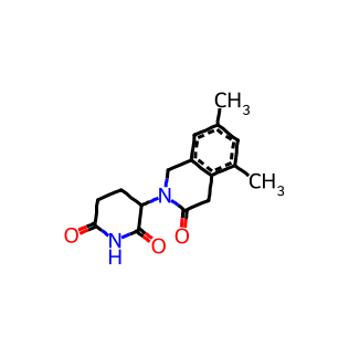 Cc1cc(C)c2c(c1)CN(C1CCC(=O)NC1=O)C(=O)C2